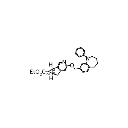 CCOC(=O)[C@H]1[C@@H]2Cc3cc(OCc4ccc5c(c4)N(c4ccccc4)CCCC5)ncc3[C@@H]21